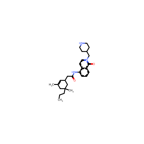 CCCC1(C)CC(C)=CC(CC(=O)Nc2cccc3c(=O)n(CC4CCNCC4)ccc23)C1